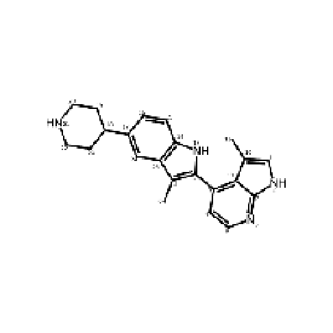 Cc1c(-c2ccnc3[nH]cc(C)c23)[nH]c2ccc(C3CCNCC3)cc12